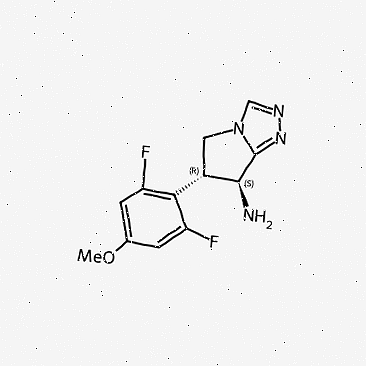 COc1cc(F)c([C@@H]2Cn3cnnc3[C@H]2N)c(F)c1